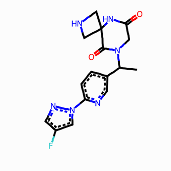 CC(c1ccc(-n2cc(F)cn2)nc1)N1CC(=O)NC2(CNC2)C1=O